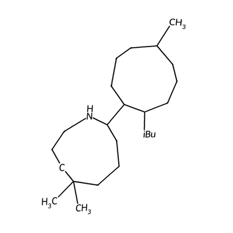 CCC(C)C1CCCC(C)CCCC1C1CCCC(C)(C)CCCN1